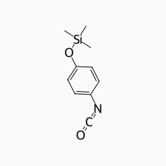 C[Si](C)(C)Oc1ccc(N=C=O)cc1